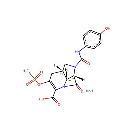 CS(=O)(=O)OC1=C(C(=O)O)N2C(=O)[C@@H]3[C@H]2[C@H](C1)CN3C(=O)Nc1ccc(O)cc1.[NaH]